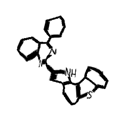 c1ccc(-c2nc(-c3cc4ccc5sc6ccccc6c5c4[nH]3)nc3ccccc23)cc1